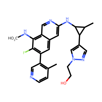 Cc1ccncc1-c1cc2cc(NC3C(C)C3c3cnn(CCO)c3)ncc2c(NC(=O)O)c1F